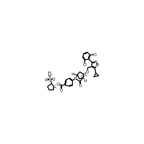 NS(=O)(=O)C1CCC[C@H]1OC(=O)c1ccc(N2C(=O)[C@@H]3C[C@H]2C[C@H]3OCc2c(-c3c(Cl)cccc3Cl)noc2C2CC2)cc1